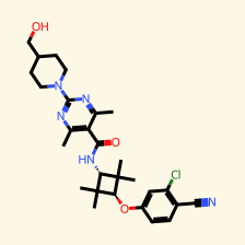 Cc1nc(N2CCC(CO)CC2)nc(C)c1C(=O)N[C@H]1C(C)(C)[C@H](Oc2ccc(C#N)c(Cl)c2)C1(C)C